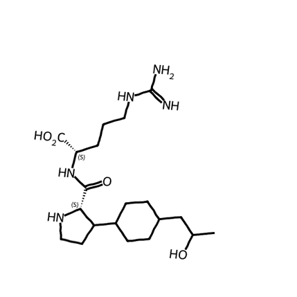 CC(O)CC1CCC(C2CCN[C@@H]2C(=O)N[C@@H](CCCNC(=N)N)C(=O)O)CC1